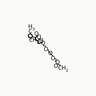 C=CC(=O)OCCOCCOCCOCCOc1ccc2cc(-c3cc(C)ccc3C)c(=O)oc2n1